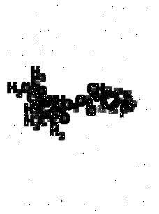 CN(C(=O)OCOC(=O)[C@@H](NC(=O)OC(C)(C)C)C(C)(C)C)c1ccc(C(F)(F)F)cc1